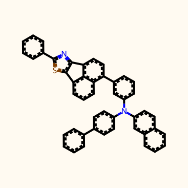 c1ccc(-c2ccc(N(c3cccc(-c4ccc5c6c(cccc46)-c4sc(-c6ccccc6)nc4-5)c3)c3ccc4ccccc4c3)cc2)cc1